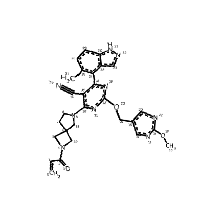 C=CC(=O)N1CC2(CCN(c3nc(OCc4cnc(OC)nc4)nc(-c4c(C)ccc5[nH]ncc45)c3C#N)C2)C1